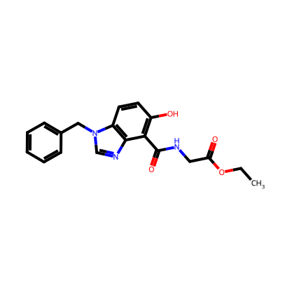 CCOC(=O)CNC(=O)c1c(O)ccc2c1ncn2Cc1ccccc1